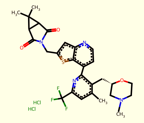 Cc1cc(C(F)(F)F)nc(-c2ccnc3cc(CN4C(=O)C5C(C4=O)C5(C)C)sc23)c1C[C@H]1CN(C)CCO1.Cl.Cl